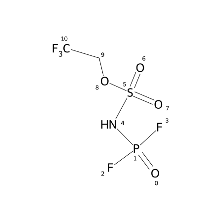 O=P(F)(F)NS(=O)(=O)OCC(F)(F)F